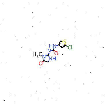 CN1C(=O)CNC1=NC(=O)Nc1csc(Cl)c1